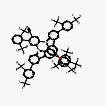 N#Cc1cc(-n2c3ccc(-c4ccc(C(F)(F)F)cc4C(F)(F)F)cc3c3cc(-c4ccc(C(F)(F)F)cc4C(F)(F)F)ccc32)c(-n2c3ccc(-c4ccc(C(F)(F)F)cc4C(F)(F)F)cc3c3cc(-c4ccc(C(F)(F)F)cc4C(F)(F)F)ccc32)cc1-c1c(C(F)(F)F)cccc1C(F)(F)F